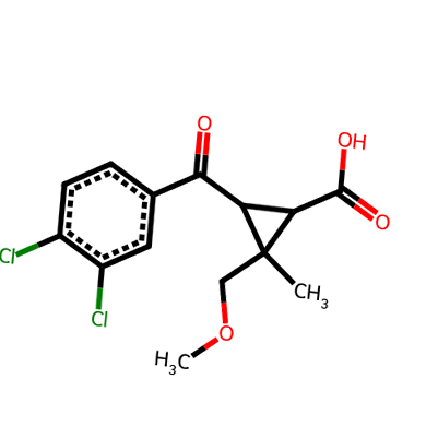 COCC1(C)C(C(=O)O)C1C(=O)c1ccc(Cl)c(Cl)c1